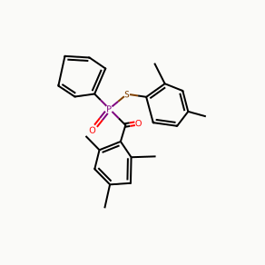 Cc1ccc(SP(=O)(C(=O)c2c(C)cc(C)cc2C)c2ccccc2)c(C)c1